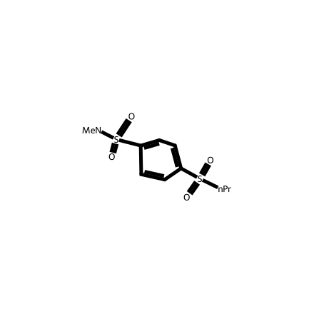 CCCS(=O)(=O)c1ccc(S(=O)(=O)NC)cc1